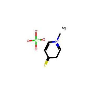 C[N+]1=CCC(=S)C=C1.[Ag].[O-][Cl+3]([O-])([O-])[O-]